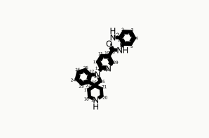 Nc1ccccc1NC(=O)c1ccc(N2CC3(CCNCC3)c3ccccc32)nc1